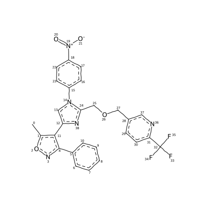 Cc1onc(-c2ccccc2)c1-c1cn(-c2ccc([N+](=O)[O-])cc2)c(COCc2ccc(C(F)(F)F)nc2)n1